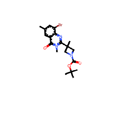 Cc1cc(Br)c2nc(C3(C)CN(C(=O)OC(C)(C)C)C3)n(C)c(=O)c2c1